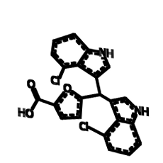 O=C(O)c1ccc(C(c2c[nH]c3cccc(Cl)c23)c2c[nH]c3cccc(Cl)c23)o1